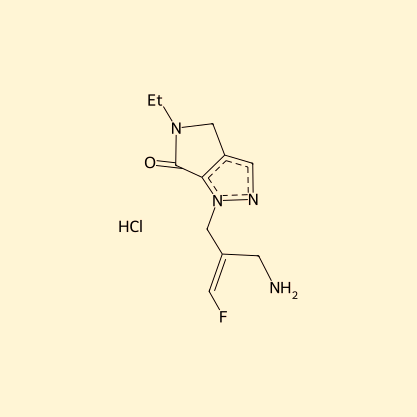 CCN1Cc2cnn(CC(=CF)CN)c2C1=O.Cl